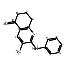 N#Cc1cc2c(nc1Nc1ccccc1)CCCC2=O